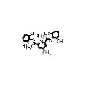 C/C(=N\c1c(C)cccc1C)c1cc(C)cc(/C(C)=N/c2c(C)cccc2C)n1